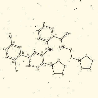 O=C(NCCN1CCCC1)c1cnccc1Nc1nc(-c2cc(Cl)ccc2F)ncc1N1CCCC1